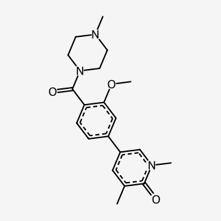 COc1cc(-c2cc(C)c(=O)n(C)c2)ccc1C(=O)N1CCN(C)CC1